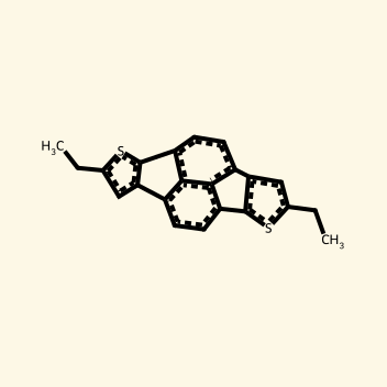 CCc1cc2c(s1)-c1ccc3c4c(ccc-2c14)-c1sc(CC)cc1-3